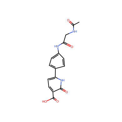 CC(=O)NCC(=O)Nc1ccc(-c2ccc(C(=O)O)c(=O)[nH]2)cc1